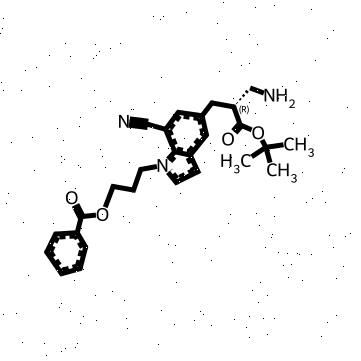 CC(C)(C)OC(=O)[C@@H](CN)Cc1cc(C#N)c2c(ccn2CCCOC(=O)c2ccccc2)c1